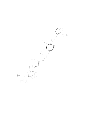 Cc1ncoc1COc1ccc2c(c1Cl)CCN(C[C@@H](O)CNC(=O)OC(C)(C)C)C2